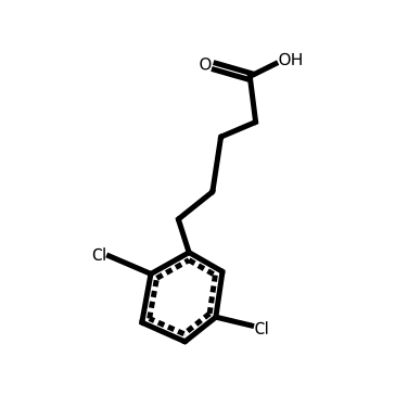 O=C(O)CCCCc1cc(Cl)ccc1Cl